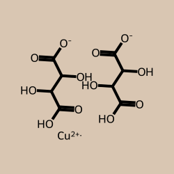 O=C([O-])C(O)C(O)C(=O)O.O=C([O-])C(O)C(O)C(=O)O.[Cu+2]